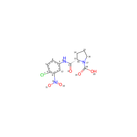 O=C(Nc1ccc(Cl)c([N+](=O)[O-])c1)[C@@H]1CCCN1C(=O)O